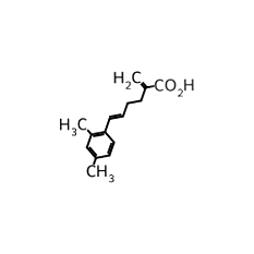 C=C(CCC=Cc1ccc(C)cc1C)C(=O)O